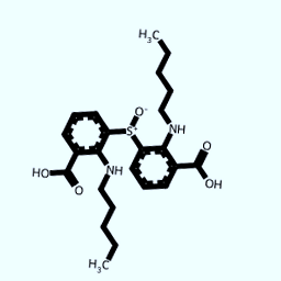 CCCCCNc1c(C(=O)O)cccc1[S+]([O-])c1cccc(C(=O)O)c1NCCCCC